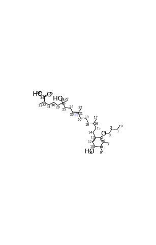 CCCCOC1=C(C)C(C)C(O)C=C1CCC(C)CCC/C(C)=C/CCC(C)(O)CCCC(C)C(=O)O